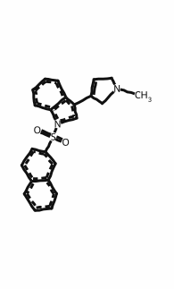 CN1CC=C(c2cn(S(=O)(=O)c3ccc4ccccc4c3)c3ccccc23)C1